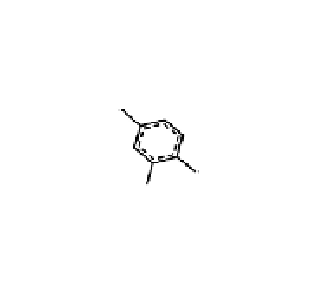 [CH2]c1ccc([CH2])c(C)c1